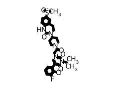 CC(C)n1c(=O)c(-c2cccc(F)c2Cl)cn(CC(=O)N2CCC(N3CCc4cc([S+](C)[O-])ccc4NC3=O)CC2)c1=O